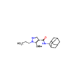 CC(C)COc1c(C(=O)NC2C3CC4CC(C3)CC2C4)cnn1CCC(=O)O